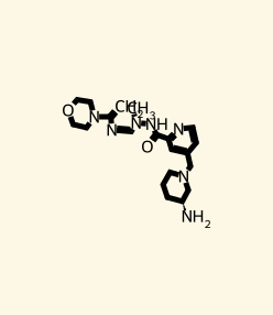 C=C(/N=C\N(C)NC(=O)c1cc(CN2CCC[C@@H](N)C2)ccn1)N1CCOCC1